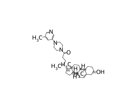 Cc1cncc(N2CCN(C(=O)CCC(C)[C@H]3CC[C@H]4[C@@H]5CC=C6C[C@@H](O)CC[C@]6(C)[C@H]5CC[C@]34C)CC2)c1